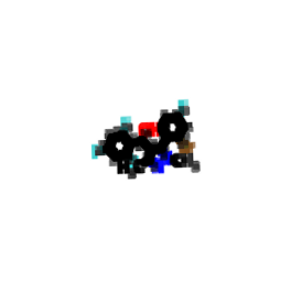 Cc1nn(C)c(-c2ccc(F)cc2Br)c1C(O)c1c(F)cc(F)cc1F